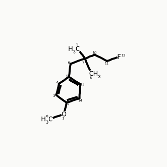 COc1ccc(CC(C)(C)CCF)cc1